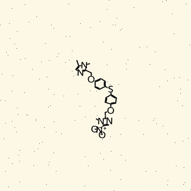 Cc1cnc(COc2ccc(Sc3ccc(OCc4ncc([N+](=O)[O-])n4C)cc3)cc2)n1C